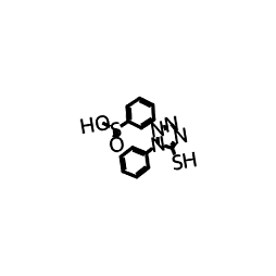 O=S(O)c1ccccc1.Sc1nnnn1-c1ccccc1